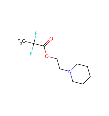 O=C(OCCN1CCCCC1)C(F)(F)C(F)(F)F